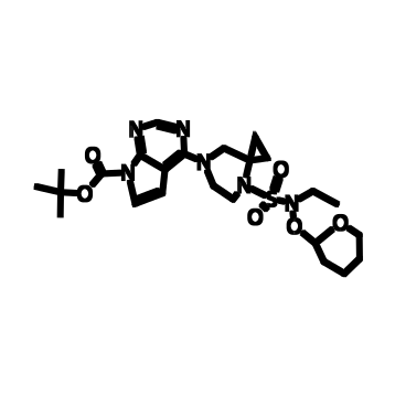 CCN(OC1CCCCO1)S(=O)(=O)N1CCN(c2ncnc3c2ccn3C(=O)OC(C)(C)C)CC12CC2